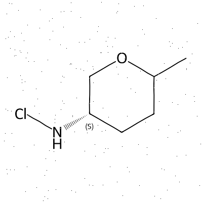 CC1CC[C@H](NCl)CO1